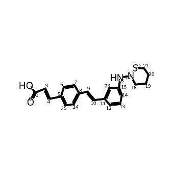 O=C(O)C=Cc1ccc(C=Cc2cccc(NN3CCCCS3)c2)cc1